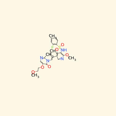 C=C/C(=C\n1c(C)ncc(OCCOC)c1=O)c1cnc(OC)c(NS(=O)(=O)c2ccc(C)cc2F)c1